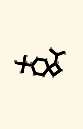 CC(C)N1CCC12CCN(C(C)(C)C)CC2